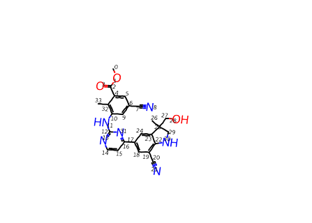 COC(=O)c1cc(C#N)cc(Nc2nccc(-c3cc(C#N)c4c(c3)C(C)(CO)CN4)n2)c1C